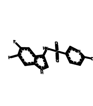 O=S(=O)(Nc1c[nH]c2cc(F)c(F)cc12)c1ccc(C(F)(F)F)nc1